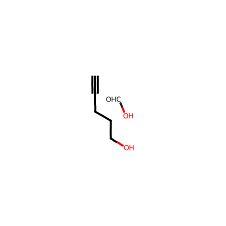 C#CCCCO.O=CO